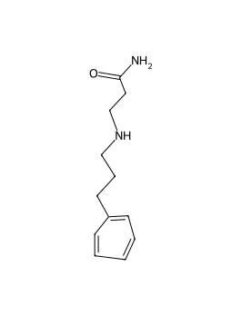 NC(=O)CCNCCCc1ccccc1